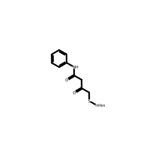 CCCCCCSCC(=O)CC(=O)Nc1ccccc1